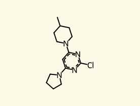 CC1CCN(c2cc(N3CCCC3)nc(Cl)n2)CC1